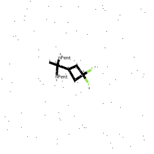 CCCCCC(C)(CCCCC)C1CC(F)(F)C1